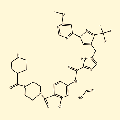 COc1ccnc(-n2cc(Cc3cnc(C(=O)Nc4ccc(C(=O)N5CCN(C(=O)C6CCNCC6)CC5)c(Cl)c4)[nH]3)c(C(F)(F)F)n2)c1.O=CO